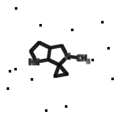 CN1CC2CCNC2C12CC2